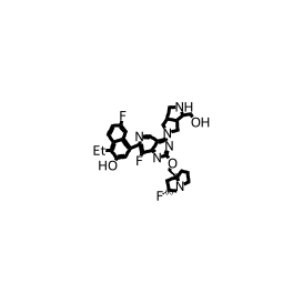 CCc1c(O)cc(-c2ncc3c(N4CC5CNC(CO)C5C4)nc(OC[C@@]45CCCN4C[C@H](F)C5)nc3c2F)c2cc(F)ccc12